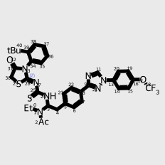 CCN(C(C)=O)C(Cc1ccc(-c2ncn(-c3ccc(OC(F)(F)F)cc3)n2)cc1)NC(=S)/N=C1\SCC(=O)N1c1ccccc1C(C)(C)C